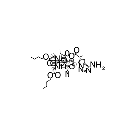 CCCCOC(=O)[C@H](C)NP(=O)(N[C@@H](C)C(=O)OCCCC)OC[C@@]1(C#N)O[C@@H](c2ccc3c(N)ncnn23)[C@H](OC(=O)CC)[C@@H]1OC(=O)CC